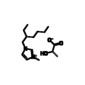 CC(O)C(=O)[O-].CCCCC(CC)Cn1cc[n+](C)c1